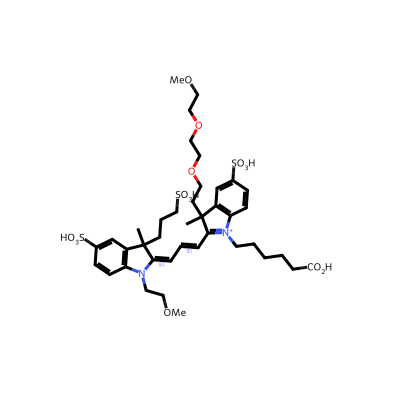 COCCOCCOCCC1(C)C(/C=C/C=C2/N(CCOC)c3ccc(S(=O)(=O)O)cc3C2(C)CCCS(=O)(=O)O)=[N+](CCCCCC(=O)O)c2ccc(S(=O)(=O)O)cc21